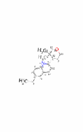 C=Cc1ccc2nc([C@H]3CCOCC3(C)C)ccc2c1